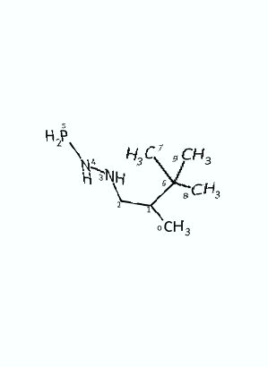 CC(CNNP)C(C)(C)C